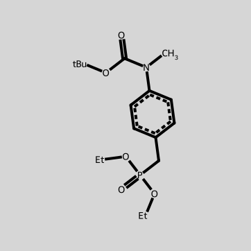 CCOP(=O)(Cc1ccc(N(C)C(=O)OC(C)(C)C)cc1)OCC